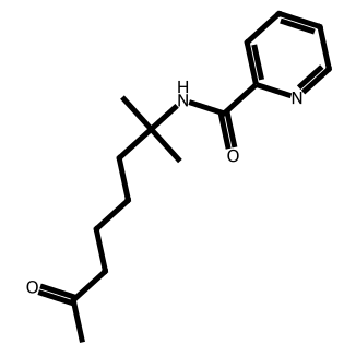 CC(=O)CCCCC(C)(C)NC(=O)c1ccccn1